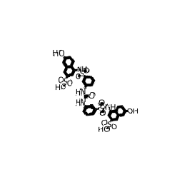 O=C(Nc1cccc(S(=O)(=O)Nc2cc(S(=O)(=O)O)cc3cc(O)ccc23)c1)Nc1cccc(S(=O)(=O)Nc2cc(S(=O)(=O)O)cc3cc(O)ccc23)c1